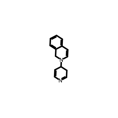 C1=CC(N2C=Cc3ccccc3C2)CC=N1